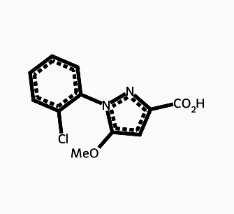 COc1cc(C(=O)O)nn1-c1ccccc1Cl